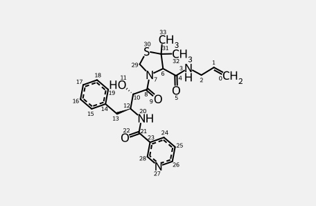 C=CCNC(=O)C1N(C(=O)[C@@H](O)[C@H](Cc2ccccc2)NC(=O)c2cccnc2)CSC1(C)C